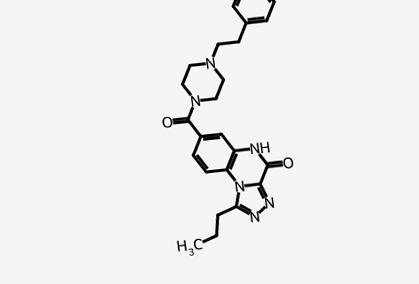 CCCc1nnc2c(=O)[nH]c3cc(C(=O)N4CCN(CCc5ccccc5)CC4)ccc3n12